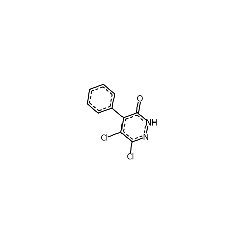 O=c1[nH]nc(Cl)c(Cl)c1-c1ccccc1